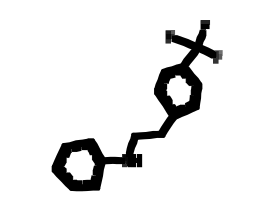 FC(F)(F)c1ccc(CCNc2ccccc2)cc1